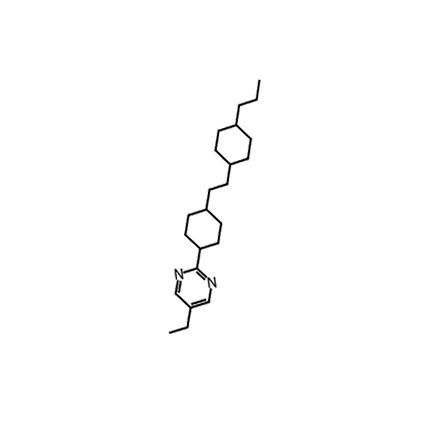 CCCC1CCC(CCC2CCC(c3ncc(CC)cn3)CC2)CC1